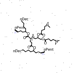 CCCCC/C=C\CCC(CCCCCCCCCCCCCC)OC(=O)CC[C@@H](C(=O)OC(CC/C=C\CCCCC)CCCCCCCCCCCCCC)N(C)CC(COC(=O)CCCN(C)C)OC(=O)CCCN(C)C